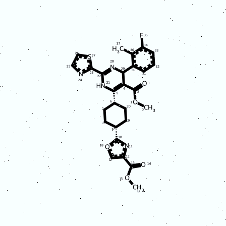 COC(=O)C1=C([C@H]2CC[C@@H](c3nc(C(=O)OC)co3)CC2)NC(c2nccs2)=NC1c1cccc(F)c1C